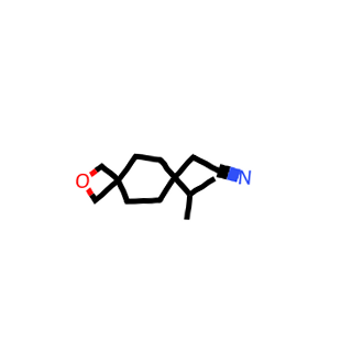 CC(C)C1(CC#N)CCC2(CC1)COC2